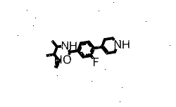 C=CC(C)C(C)NC(O)c1ccc(C2=CCNCC2)c(F)c1